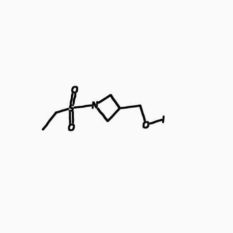 CCS(=O)(=O)N1CC(COI)C1